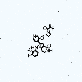 C=C(F)C(=O)N1CC[C@@H]1COc1cnccc1-c1cc2c(n1Nc1cccc(F)c1OC)CCNC2=O